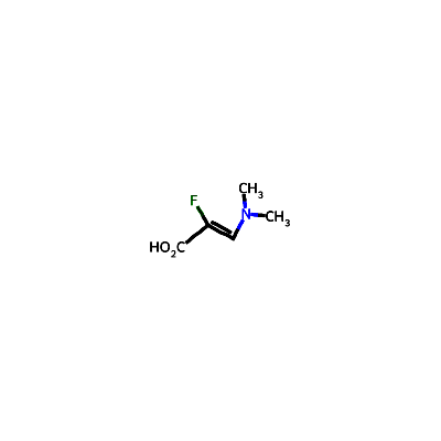 CN(C)C=C(F)C(=O)O